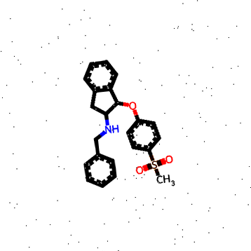 CS(=O)(=O)c1ccc(OC2c3ccccc3CC2NCc2ccccc2)cc1